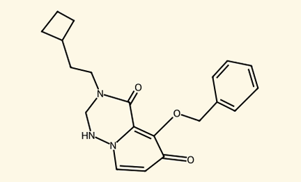 O=C1c2c(OCc3ccccc3)c(=O)ccn2NCN1CCC1CCC1